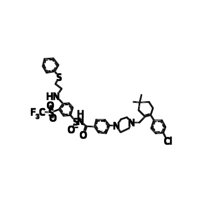 CC1(C)CCC(c2ccc(Cl)cc2)=C(CN2CCN(c3ccc(C(=O)N[S+]([O-])c4ccc(NCCSc5ccccc5)c(S(=O)(=O)C(F)(F)F)c4)cc3)CC2)C1